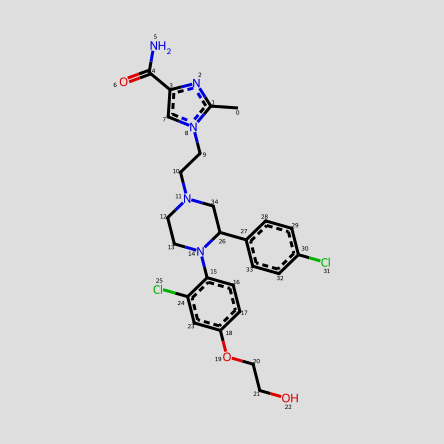 Cc1nc(C(N)=O)cn1CCN1CCN(c2ccc(OCCO)cc2Cl)C(c2ccc(Cl)cc2)C1